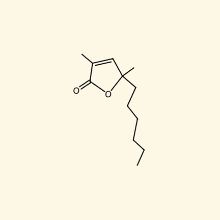 CCCCCCC1(C)C=C(C)C(=O)O1